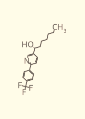 CCCCCC[C@@H](O)c1ccc(-c2ccc(C(F)(F)F)cc2)nc1